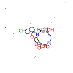 CC[C@@H]1C(=O)N(C)CC/C=C/[C@H](O)[C@@H]2CC[C@H]2CN2C[C@@]3(CCCc4cc(Cl)ccc43)COc3ccc(cc32)[C@]1(O)C(=O)OC